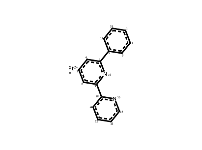 [Pt+2].c1ccc(-c2cccc(-c3ccccn3)n2)cc1